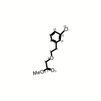 COC(=O)COCCc1cccc(Cl)c1